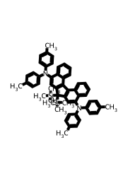 Cc1ccc(N(c2ccc(C)cc2)c2cc3c(c4ccccc24)-c2c(cc(N(c4ccc(C)cc4)c4ccc(C)cc4)c4ccccc24)C3([Si](C)(C)C)[Si](C)(C)C)cc1